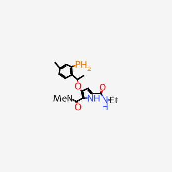 CCNC(=O)c1cc(OC(C)c2ccc(C)cc2P)c(C(=O)NC)[nH]1